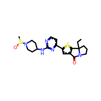 CCC12CCCN1C(=O)c1cc(-c3ccnc(NC4CCN([S+](C)[O-])CC4)n3)sc12